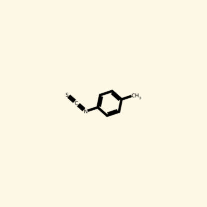 Cc1ccc(N=C=S)cc1